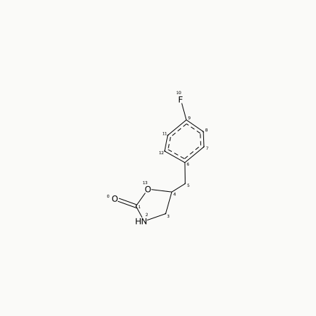 O=C1NCC(Cc2ccc(F)cc2)O1